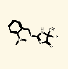 CCCC1(CCC)NC(SCc2ccccc2N(C)C)=NC1=O